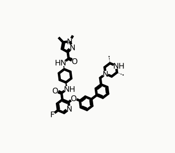 Cc1cc(C(=O)N[C@H]2CC[C@H](NC(=O)c3cc(F)cnc3Oc3cccc(-c4cccc(CN5C[C@@H](C)N[C@@H](C)C5)c4)c3)CC2)nn1C